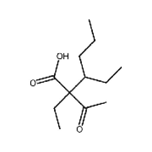 CCCC(CC)C(CC)(C(C)=O)C(=O)O